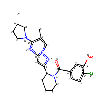 Cc1cn2nc([C@@H]3CCCCN3C(=O)c3ccc(Cl)c(O)c3)cc2nc1N1CC[C@H](C)C1